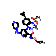 CCONC(=O)c1cnc(NN2C=CN=CC2)cc1Nc1ccc(C2CC2)cc1N(C)S(C)(=O)=O